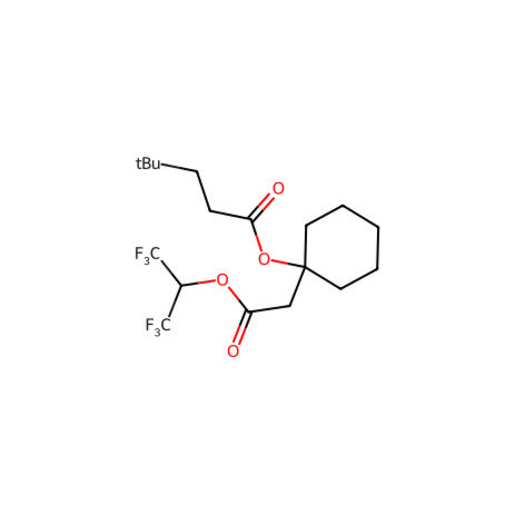 CC(C)(C)CCC(=O)OC1(CC(=O)OC(C(F)(F)F)C(F)(F)F)CCCCC1